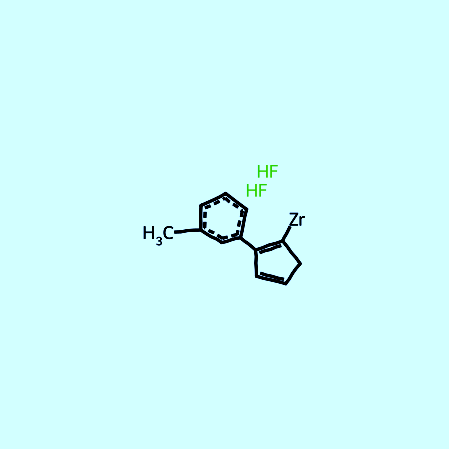 Cc1cccc(C2=[C]([Zr])CC=C2)c1.F.F